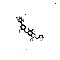 Cc1c(Cc2ccc(-c3cn(C)nn3)cc2F)cc2c(c1C)CN(CC1CCCO1)C2=O